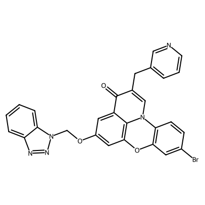 O=c1c(Cc2cccnc2)cn2c3c(cc(OCn4nnc5ccccc54)cc13)Oc1cc(Br)ccc1-2